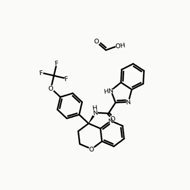 O=C(N[C@]1(c2ccc(OC(F)(F)F)cc2)CCOc2cccnc21)c1nc2ccccc2[nH]1.O=CO